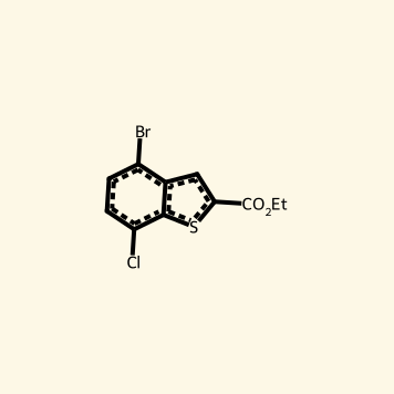 CCOC(=O)c1cc2c(Br)ccc(Cl)c2s1